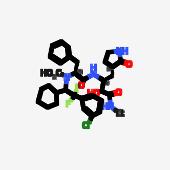 CCNC(=O)C(O)[C@H](C[C@@H]1CCNC1=O)NC(=O)[C@H](Cc1ccccc1)N(C(=O)O)C(C1CCCCC1)C(F)(F)c1cccc(Cl)c1